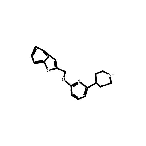 c1cc(OCc2cc3ccccc3o2)nc(C2CCNCC2)c1